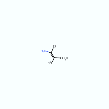 CCC/C(C(=O)O)=C(\N)CC